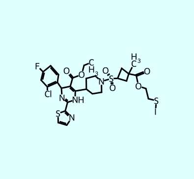 CCOC(=O)C1=C(C2CCN(S(=O)(=O)C3CC(C)(C(=O)OCCSI)C3)CC2)NC(c2nccs2)=NC1c1ccc(F)cc1Cl